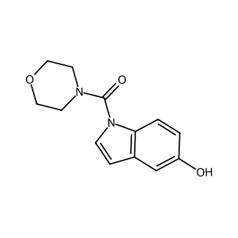 O=C(N1CCOCC1)n1ccc2cc(O)ccc21